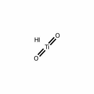 I.[O]=[Ti]=[O]